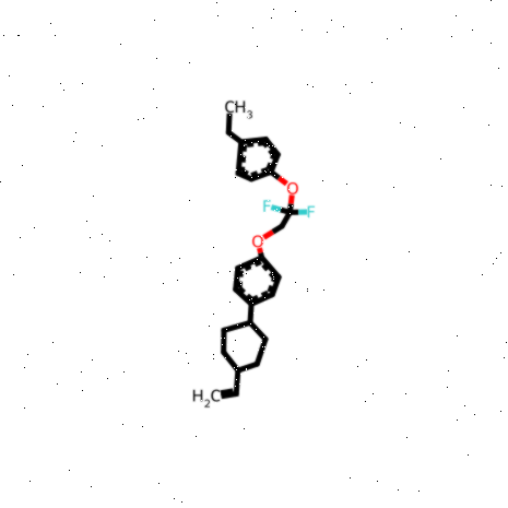 C=CC1CCC(c2ccc(OCC(F)(F)Oc3ccc(CC)cc3)cc2)CC1